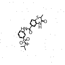 CC1Sc2ccc(C(=O)Nc3cccc(S(=O)(=O)N(C)C(C)C)c3)cc2NC1=O